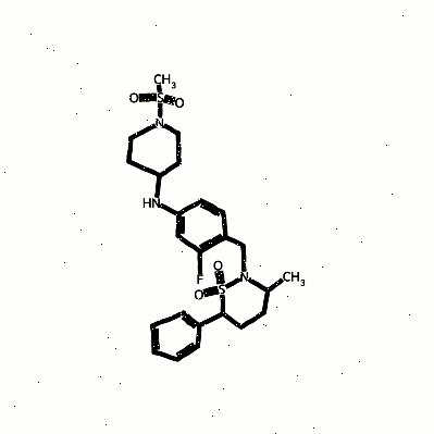 CC1CCC(c2ccccc2)S(=O)(=O)N1Cc1ccc(NC2CCN(S(C)(=O)=O)CC2)cc1F